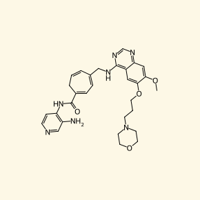 COc1cc2ncnc(NCC3=CC=C(C(=O)Nc4ccncc4N)CC=C3)c2cc1OCCCN1CCOCC1